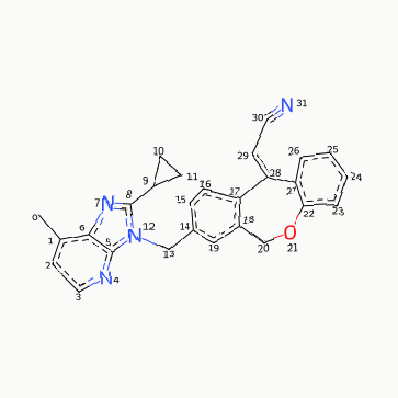 Cc1ccnc2c1nc(C1CC1)n2Cc1ccc2c(c1)COc1ccccc1C2=CC#N